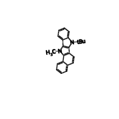 Cn1c2c3ccccc3ccc2c2c1c1ccccc1n2C(C)(C)C